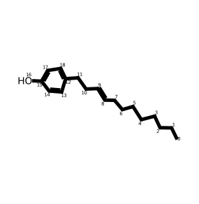 CCCCCCCCC=CCCc1ccc(O)cc1